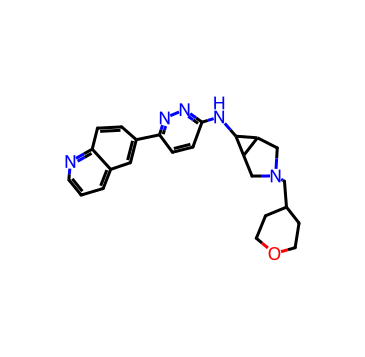 c1cnc2ccc(-c3ccc(NC4C5CN(CC6CCOCC6)CC54)nn3)cc2c1